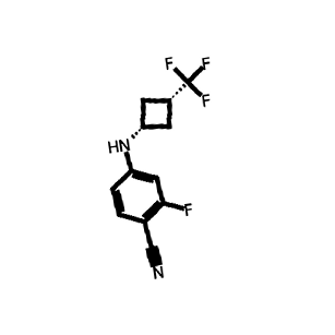 N#Cc1ccc(N[C@H]2C[C@@H](C(F)(F)F)C2)cc1F